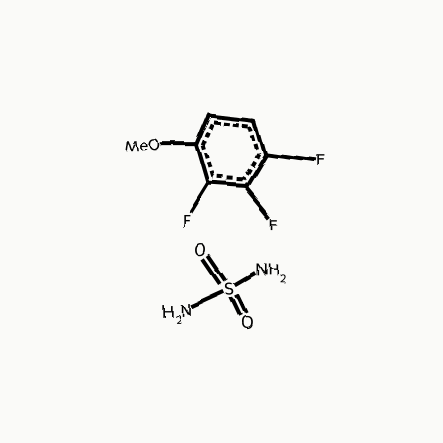 COc1ccc(F)c(F)c1F.NS(N)(=O)=O